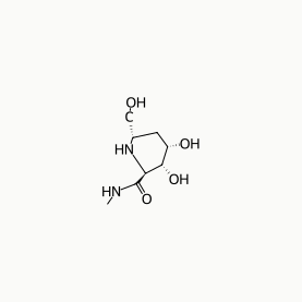 CNC(=O)[C@H]1N[C@H](CO)C[C@H](O)[C@@H]1O